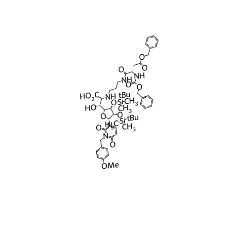 COc1ccc(Cn2c(=O)ccn([C@@H]3OC([C@H](O)[C@H](NCCCNC(=O)[C@H](CC(=O)OCc4ccccc4)NC(=O)OCc4ccccc4)C(=O)O)[C@@H](O[Si](C)(C)C(C)(C)C)[C@H]3O[Si](C)(C)C(C)(C)C)c2=O)cc1